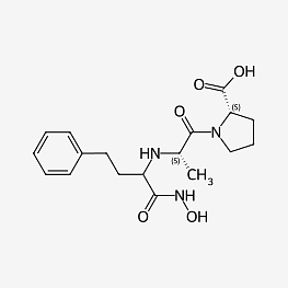 C[C@H](NC(CCc1ccccc1)C(=O)NO)C(=O)N1CCC[C@H]1C(=O)O